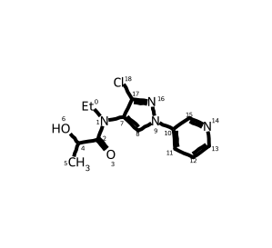 CCN(C(=O)C(C)O)c1cn(-c2cccnc2)nc1Cl